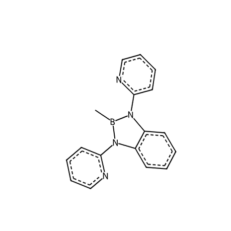 CB1N(c2ccccn2)c2ccccc2N1c1ccccn1